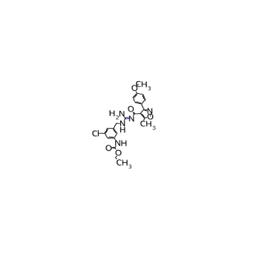 CCOC(=O)Nc1cc(Cl)cc(CN/C(N)=N/C(=O)c2c(-c3ccc(OC)cc3)noc2C)c1